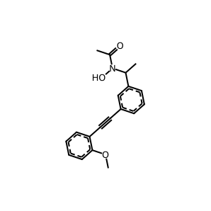 COc1ccccc1C#Cc1cccc(C(C)N(O)C(C)=O)c1